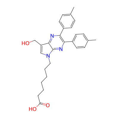 Cc1ccc(-c2nc3c(CO)cn(CCCCCCC(=O)O)c3nc2-c2ccc(C)cc2)cc1